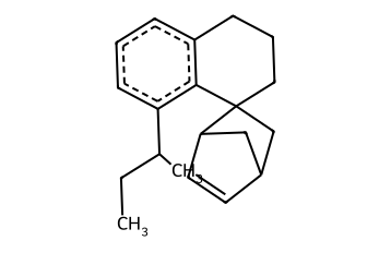 CCC(C)c1cccc2c1C1(CCC2)CC2C=CC1C2